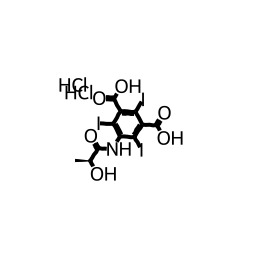 C[C@H](O)C(=O)Nc1c(I)c(C(=O)O)c(I)c(C(=O)O)c1I.Cl.Cl